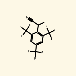 CC(C#N)c1c(C(F)(F)F)cc(C(F)(F)F)cc1C(F)(F)F